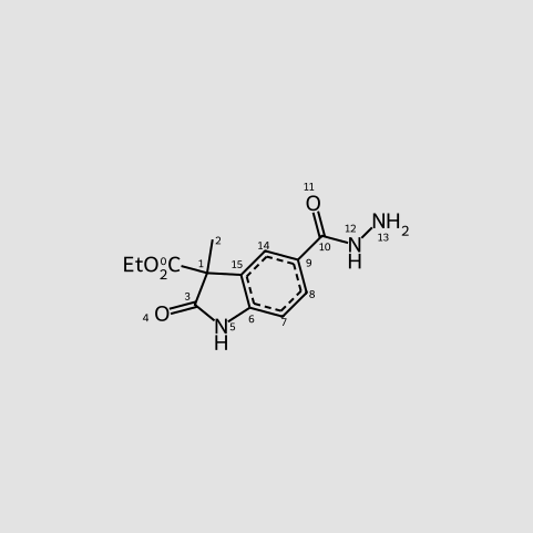 CCOC(=O)C1(C)C(=O)Nc2ccc(C(=O)NN)cc21